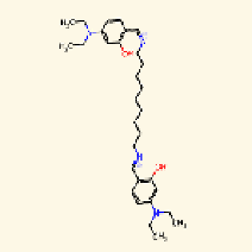 CCN(CC)c1ccc(/C=N\CCCCCCCCC/N=C/c2ccc(N(CC)CC)cc2O)c(O)c1